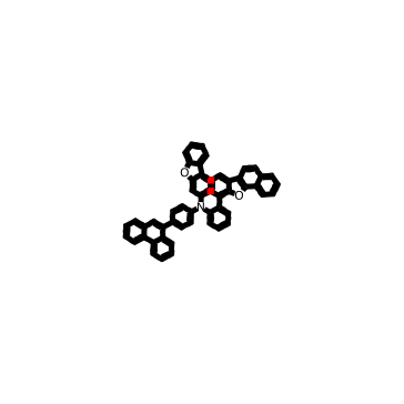 c1ccc(N(c2ccc(-c3cc4ccccc4c4ccccc34)cc2)c2ccc3c(c2)oc2ccccc23)c(-c2cccc3c2oc2c4ccccc4ccc32)c1